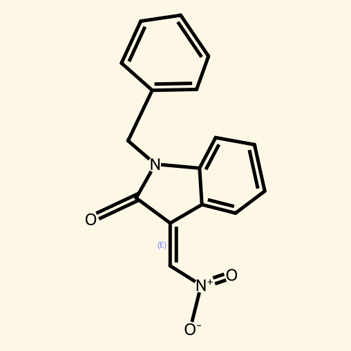 O=C1/C(=C/[N+](=O)[O-])c2ccccc2N1Cc1ccccc1